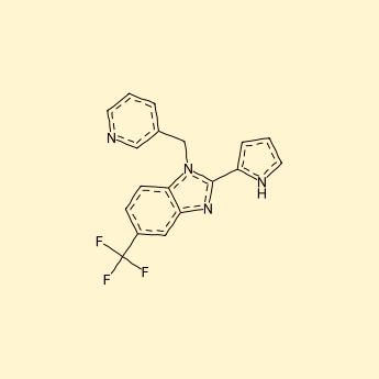 FC(F)(F)c1ccc2c(c1)nc(-c1ccc[nH]1)n2Cc1cccnc1